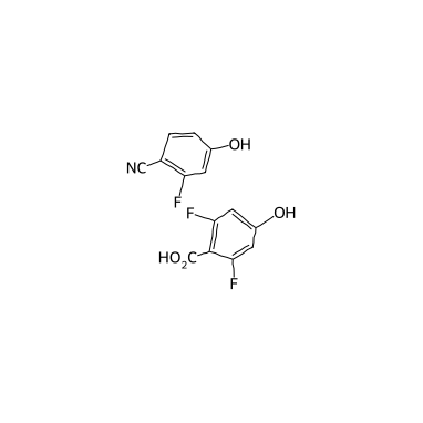 N#Cc1ccc(O)cc1F.O=C(O)c1c(F)cc(O)cc1F